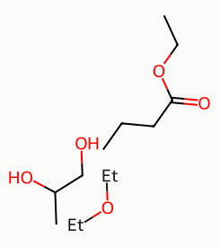 CC(O)CO.CCCC(=O)OCC.CCOCC